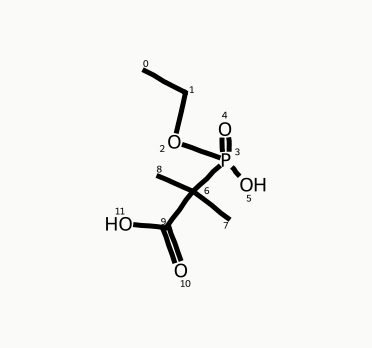 CCOP(=O)(O)C(C)(C)C(=O)O